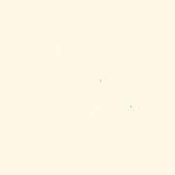 COC(=O)C(C)C.Clc1ccc2c(c1)O2